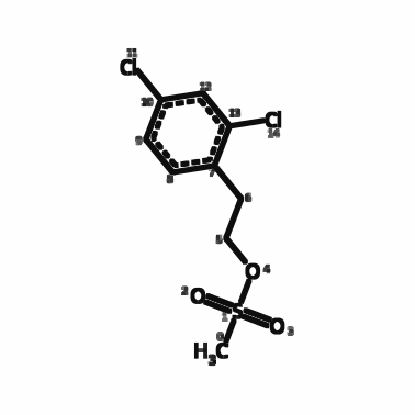 CS(=O)(=O)OCCc1ccc(Cl)cc1Cl